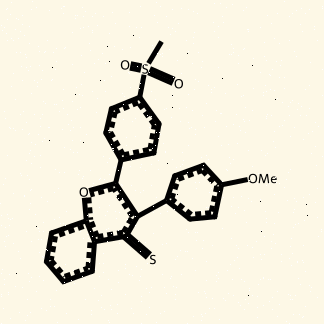 COc1ccc(-c2c(-c3ccc(S(C)(=O)=O)cc3)oc3ccccc3c2=S)cc1